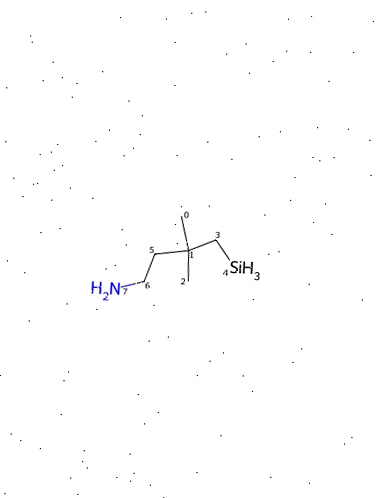 CC(C)(C[SiH3])CCN